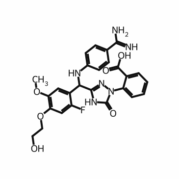 COc1cc(C(Nc2ccc(C(=N)N)cc2)c2nn(-c3ccccc3C(=O)O)c(=O)[nH]2)c(F)cc1OCCO